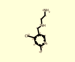 NCCNCc1cnc(F)cc1Cl